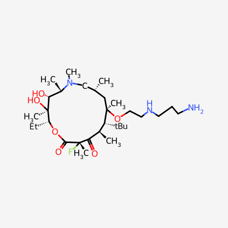 CC[C@H]1OC(=O)[C@@](C)(F)C(=O)[C@H](C)[C@@H](C(C)(C)C)[C@](C)(OCCNCCCN)C[C@@H](C)CN(C)[C@H](C)[C@@H](O)[C@]1(C)O